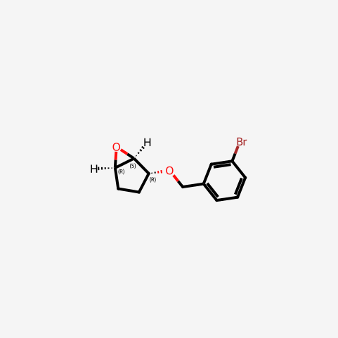 Brc1cccc(CO[C@@H]2CC[C@H]3O[C@@H]23)c1